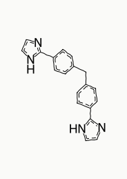 c1c[nH]c(-c2ccc(Cc3ccc(-c4ncc[nH]4)cc3)cc2)n1